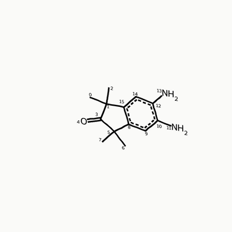 CC1(C)C(=O)C(C)(C)c2cc(N)c(N)cc21